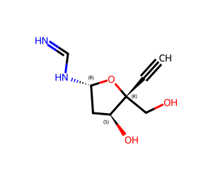 C#C[C@]1(CO)O[C@@H](NC=N)C[C@@H]1O